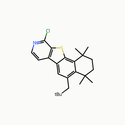 CC(C)(C)Cc1cc2c(sc3c(Cl)nccc32)c2c1C(C)(C)CCC2(C)C